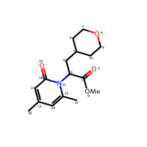 COC(=O)C(CC1CCOCC1)n1c(C)cc(C)cc1=O